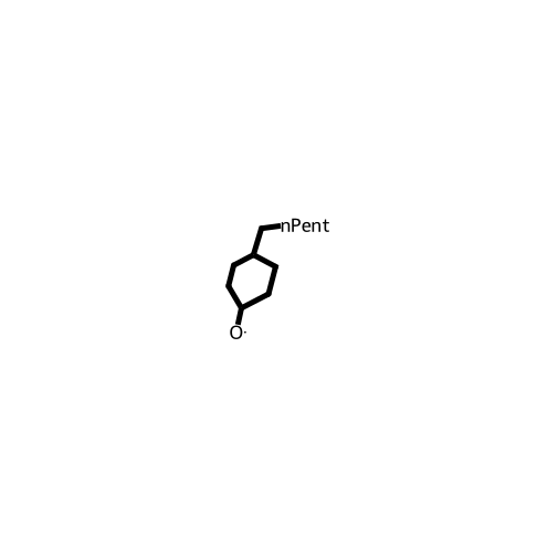 CCCCCCC1CCC([O])CC1